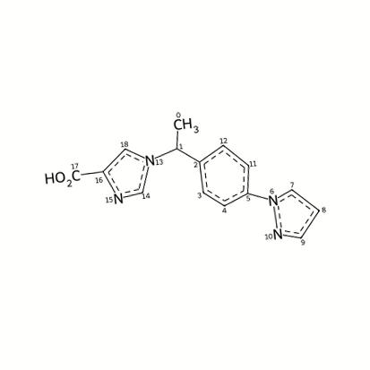 CC(c1ccc(-n2cccn2)cc1)n1cnc(C(=O)O)c1